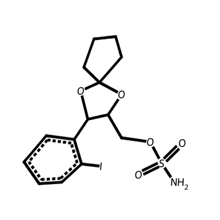 NS(=O)(=O)OCC1OC2(CCCC2)OC1c1ccccc1I